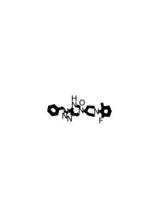 Cc1cccc(F)c1N1CCC(N2Cc3nnn(Cc4ccccc4)c3NC2=O)CC1